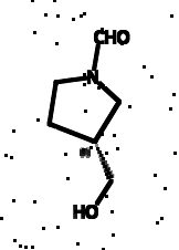 O=CN1CC[C@@H](CO)C1